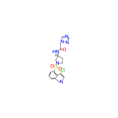 O=C(Cn1cncn1)N[C@H]1CCN(S(=O)(=O)c2cccc3cncc(Cl)c23)C1